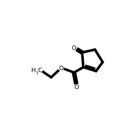 CCOC(=O)C1=CCCC1=O